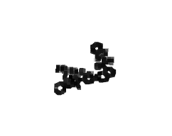 Cc1c(-c2ccc(N3CCc4cccc(C(=O)Nc5nc6ccccc6s5)c4C3)nc2C(=O)O)cnn1CC1(OCCO)CCCCC1